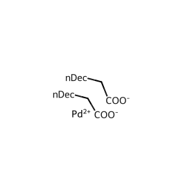 CCCCCCCCCCCC(=O)[O-].CCCCCCCCCCCC(=O)[O-].[Pd+2]